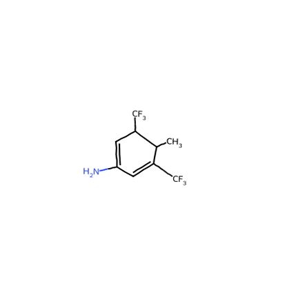 CC1C(C(F)(F)F)=CC(N)=CC1C(F)(F)F